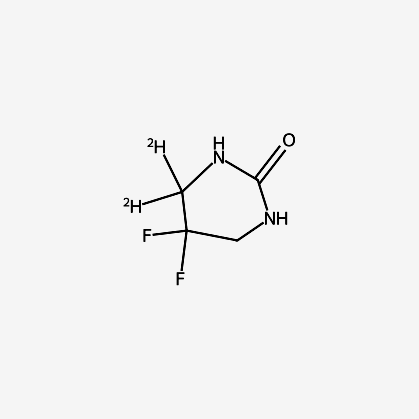 [2H]C1([2H])NC(=O)NCC1(F)F